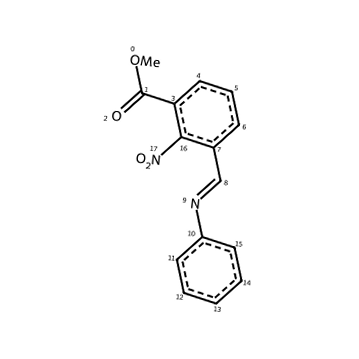 COC(=O)c1cccc(C=Nc2ccccc2)c1[N+](=O)[O-]